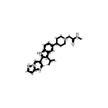 CNC(=O)CN1CCC(c2ccc3[nH]c(-c4cnc5ccnn5c4)c(C(C)C)c3c2)CC1